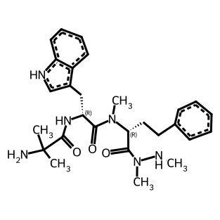 CNN(C)C(=O)[C@@H](CCc1ccccc1)N(C)C(=O)[C@@H](Cc1c[nH]c2ccccc12)NC(=O)C(C)(C)N